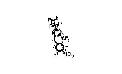 Cc1cc(Cn2nc(C(F)(F)C(F)F)nc2C(F)(F)F)ccc1[N+](=O)[O-]